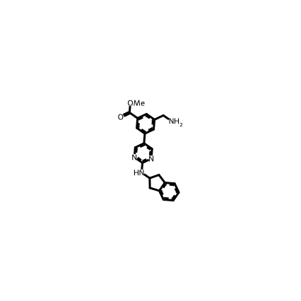 COC(=O)c1cc(CN)cc(-c2cnc(NC3Cc4ccccc4C3)nc2)c1